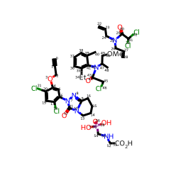 C#CCOc1cc(-n2nc3n(c2=O)CCCC3)c(Cl)cc1Cl.C=CCN(CC=C)C(=O)C(Cl)Cl.CCc1cccc(C)c1N(C(=O)CCl)C(C)COC.O=C(O)CNCP(=O)(O)O